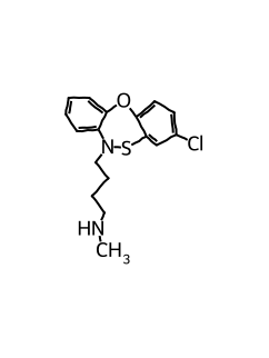 CNCCCCn1sc2cc(Cl)ccc2oc2ccccc21